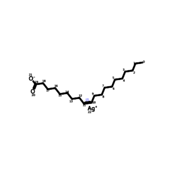 CCCCCCCCCC/C=C\CCCCCCCC(=O)[O-].[Ag+]